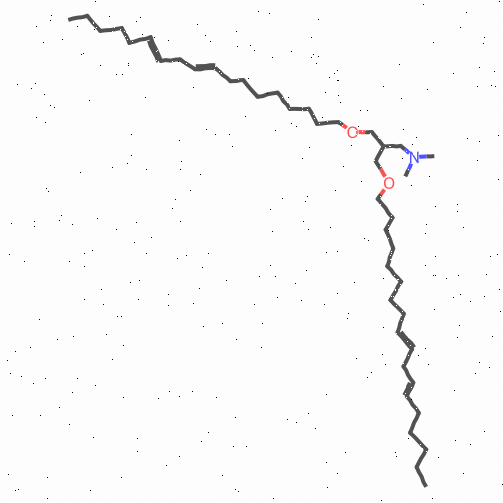 CCCCCC=CCC=CCCCCCCCCOCC(COCCCCCCCCC=CCC=CCCCCC)CN(C)C